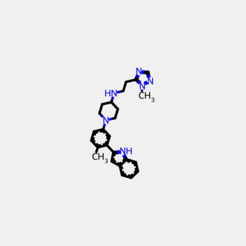 Cc1ccc(N2CCC(NCCc3ncnn3C)CC2)cc1-c1cc2ccccc2[nH]1